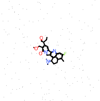 CCC(C=O)c1cc2n(c(=O)c1COC)Cc1c-2nc2cc(F)c(C)c3c2c1C(N(C)C)CC3